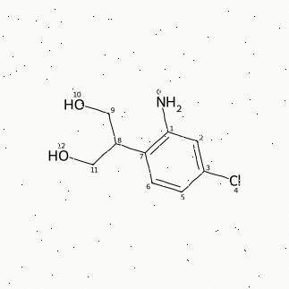 Nc1cc(Cl)ccc1C(CO)CO